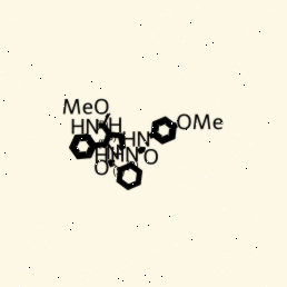 COC[C@@H]1Nc2ccccc2[C@H]2[C@H]1CCN2C(=O)[C@H]1CCCC[C@H]1NC(=O)Nc1ccc(OC)cc1